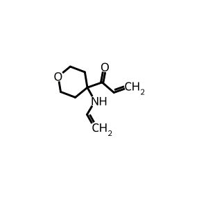 C=CNC1(C(=O)C=C)CCOCC1